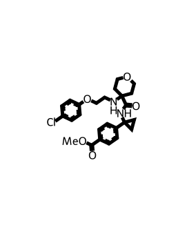 COC(=O)c1ccc(C2(NC(=O)C3(NCCOc4ccc(Cl)cc4)CCOCC3)CC2)cc1